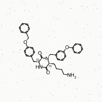 NCCCC[C@H]1C(=O)N[C@@H](Cc2ccc(OCc3ccccc3)cc2)C(=O)N1Cc1cccc(Oc2ccccc2)c1